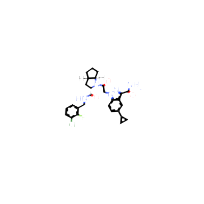 NC(=O)c1nn(CC(=O)N2[C@H](C(=O)NCc3cccc(Cl)c3F)C[C@@H]3CCC[C@@H]32)c2ccc(C3CC3)cc12